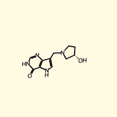 O=c1[nH]cnc2c(CN3CC[C@H](O)C3)c[nH]c12